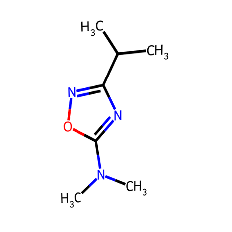 CC(C)c1noc(N(C)C)n1